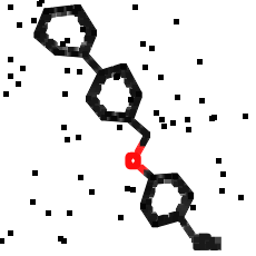 CC(C)(C)c1ccc(OCc2ccc(-c3ccccc3)cc2)cc1